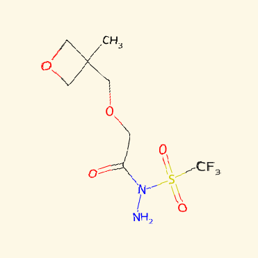 CC1(COCC(=O)N(N)S(=O)(=O)C(F)(F)F)COC1